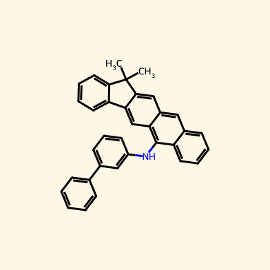 CC1(C)c2ccccc2-c2cc3c(Nc4cccc(-c5ccccc5)c4)c4ccccc4cc3cc21